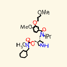 COCCCOc1cc(C(=O)N(C[C@@H]2CNC[C@H]2COC(=O)N(C)CC2CCCCC2)C(C)C)ccc1OC